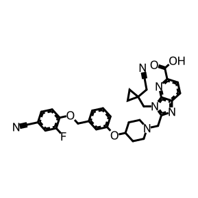 N#CCC1(Cn2c(CN3CCC(Oc4cccc(COc5ccc(C#N)cc5F)c4)CC3)nc3ccc(C(=O)O)nc32)CC1